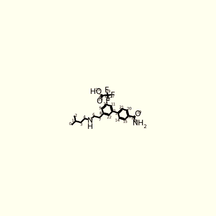 CC(C)CCNCCc1cccc(-c2ccc(C(N)=O)cc2)c1.O=C(O)C(F)(F)F